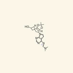 CN(C)/C=N/c1ncnc2c1ccn2C1CC2(CC(O)C2)[C@H]2OC(C)(C)O[C@@H]12